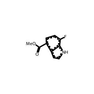 COC(=O)c1ccc(F)c2[nH]ccc12